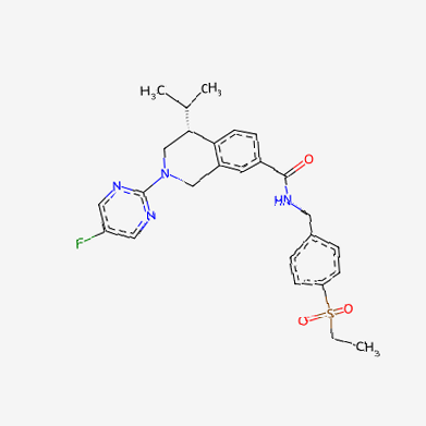 CCS(=O)(=O)c1ccc(CNC(=O)c2ccc3c(c2)CN(c2ncc(F)cn2)C[C@@H]3C(C)C)cc1